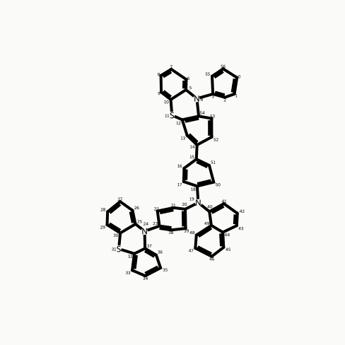 c1ccc(N2c3ccccc3Sc3cc(-c4ccc(N(c5ccc(N6c7ccccc7Sc7ccccc76)cc5)c5cccc6ccccc56)cc4)ccc32)cc1